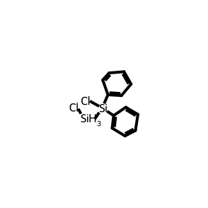 C[Si](Cl)(c1ccccc1)c1ccccc1.[SiH3]Cl